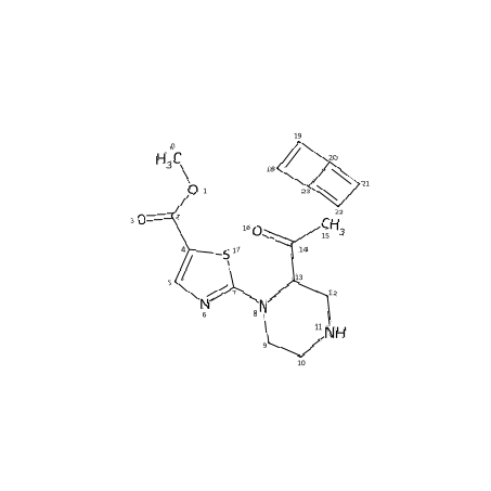 COC(=O)c1cnc(N2CCNCC2C(C)=O)s1.c1cc2ccc1-2